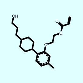 C=CC(=O)OCCOc1cc(C)ccc1C1CCC(CCCO)CC1